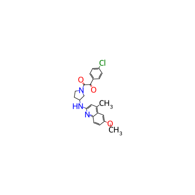 COc1ccc2nc(NC3CCN(C(=O)C(=O)c4ccc(Cl)cc4)C3)cc(C)c2c1